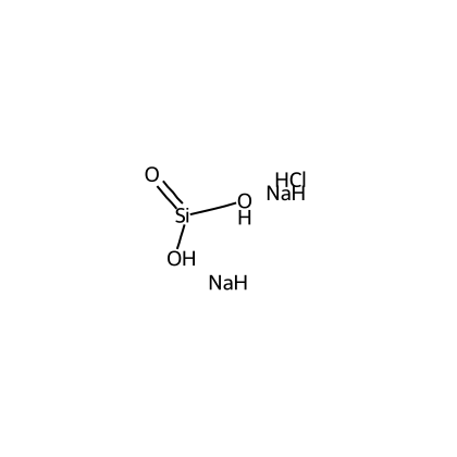 Cl.O=[Si](O)O.[NaH].[NaH]